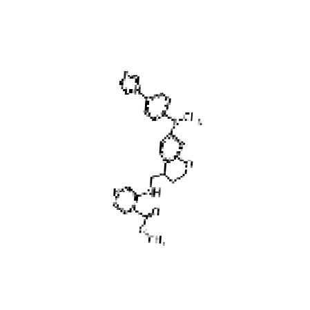 COC(=O)c1ccncc1NC[C@@H]1CCOc2cc(N(C)c3ccc(-n4ccnc4)cc3)ccc21